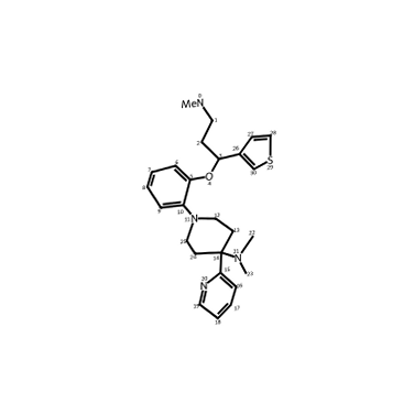 CNCCC(Oc1ccccc1N1CCC(c2ccccn2)(N(C)C)CC1)c1ccsc1